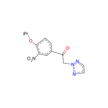 CC(C)Oc1ccc(C(=O)Cn2nccn2)cc1[N+](=O)[O-]